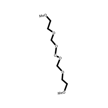 COCCOCOOOCOCCOC